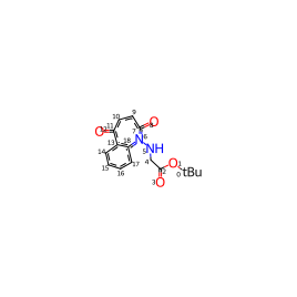 CC(C)(C)OC(=O)CNn1c(=O)ccc(=O)c2ccccc21